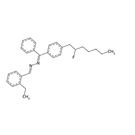 CCCCCC(F)Cc1ccc(C(=NN=Cc2ccccc2CC)c2ccccc2)cc1